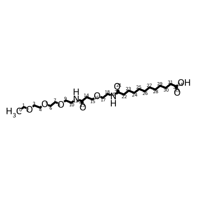 CCOCCOCCOCCNC(=O)CCOCCNC(=O)CCCCCCCCCCC(=O)O